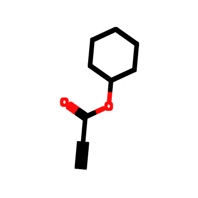 C#CC(=O)OC1CCCCC1